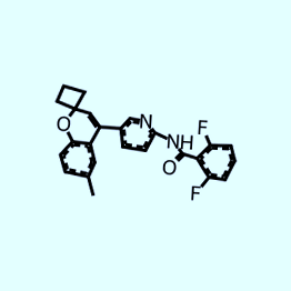 Cc1ccc2c(c1)C(c1ccc(NC(=O)c3c(F)cccc3F)nc1)=CC1(CCC1)O2